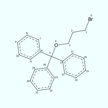 BrCCCOC(c1ccccc1)(c1ccccc1)c1ccccc1